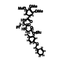 COc1cc(C(=O)N[C@@H](CC(C)C)C(=O)N[C@@H](Cc2ccc(OCc3ccccc3)cc2)C(=O)OC(C)(C)C)cc(OC)c1OC